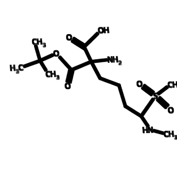 CNC(CCCC(N)(C(=O)O)C(=O)OC(C)(C)C)S(C)(=O)=O